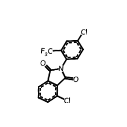 O=C1c2cccc(Cl)c2C(=O)N1c1ccc(Cl)cc1C(F)(F)F